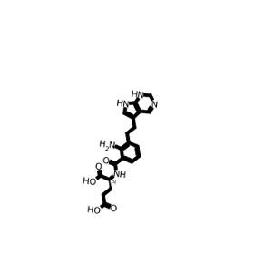 Nc1c(CCc2c[nH]c3c2C=NCN3)cccc1C(=O)N[C@@H](CCC(=O)O)C(=O)O